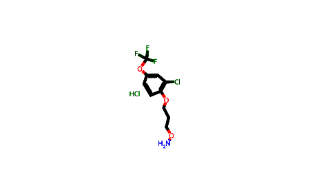 Cl.NOCCCOc1ccc(OC(F)(F)F)cc1Cl